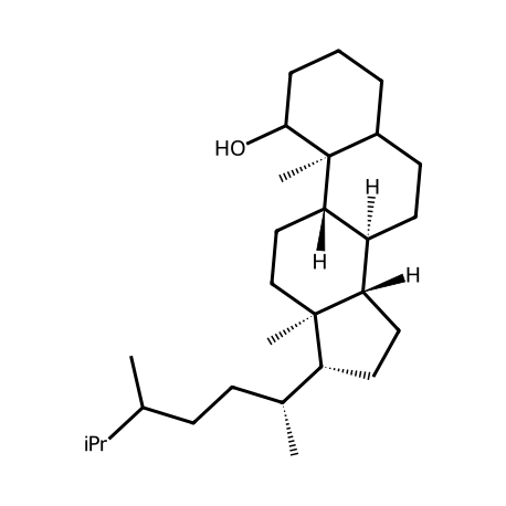 CC(C)C(C)CC[C@@H](C)[C@H]1CC[C@H]2[C@@H]3CCC4CCCC(O)[C@]4(C)[C@H]3CC[C@]12C